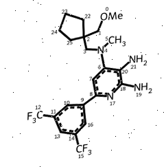 COCC1(CN(C)c2cc(-c3cc(C(F)(F)F)cc(C(F)(F)F)c3)nc(N)c2N)CCCC1